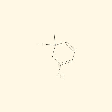 CC1(C(F)(F)F)C=CC=C(O)C1